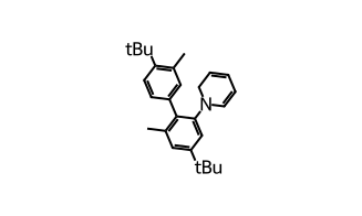 Cc1cc(-c2c(C)cc(C(C)(C)C)cc2N2C=CC=CC2)ccc1C(C)(C)C